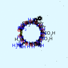 CCCCC[C@@H]1NC(=O)[C@H](CCCNC(=N)N)NC(=O)[C@H](C)NC(=O)CSC[C@@H](C(N)=O)NC(=O)[C@H](CC(=O)O)NC(=O)[C@H](CCCCC)NC(=O)[C@H](Cc2ccc(-c3ccccc3)cc2)NC(=O)[C@H](CC(C)C)NC(=O)[C@H](C(C)C)NC(=O)[C@H](CCC(=O)O)NC(=O)[C@H](CC(=O)O)NC(=O)[C@H](Cc2c[nH]cn2)NC(=O)[C@H](C)NC1=O